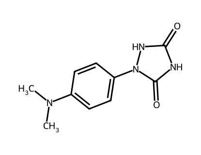 CN(C)c1ccc(-n2[nH]c(=O)[nH]c2=O)cc1